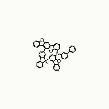 CC1(C)c2ccccc2-c2ccc(-c3c4oc5c(N(c6cccc(-c7ccccc7)c6)c6cccc7c6oc6ccccc67)cccc5c4cc4oc5ccccc5c34)cc21